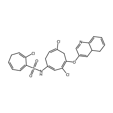 O=S(=O)(N/C1=C/C(Cl)=C(/OC2=CC3CC=CC=C3N=C2)CC(Cl)=CC1)C1=CC=CCC=C1Cl